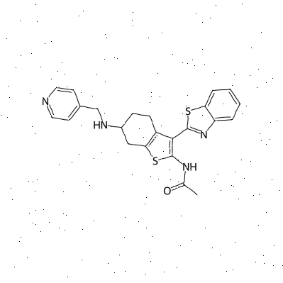 CC(=O)Nc1sc2c(c1-c1nc3ccccc3s1)CCC(NCc1ccncc1)C2